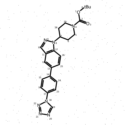 CC(C)(C)OC(=O)N1CCC(n2ncc3cc(-c4ccc(-n5cnnn5)cc4)ccc32)CC1